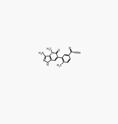 CNC(=O)c1ccc(C)c(-c2cc3[nH]nc(N)c3n(C)c2=O)c1